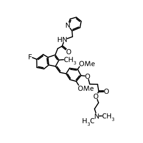 COc1cc(C=C2C(C)=C(CC(=O)NCc3ccccn3)c3cc(F)ccc32)cc(OC)c1OCCC(=O)OCCN(C)C